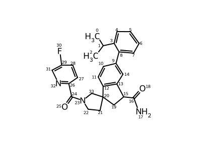 CC(C)c1ccccc1-c1ccc2c(c1)C(C(N)=O)CC21CCN(C(=O)c2ccc(F)cn2)C1